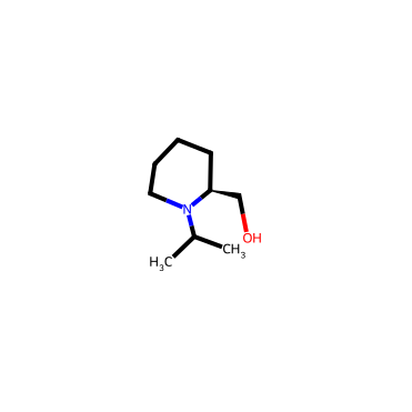 CC(C)N1CCCC[C@H]1CO